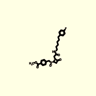 COC(=O)c1ccc(C[S+]([O-])C2CC(=O)N2CC(=O)NCCCCCCc2ccc(F)cc2)cc1